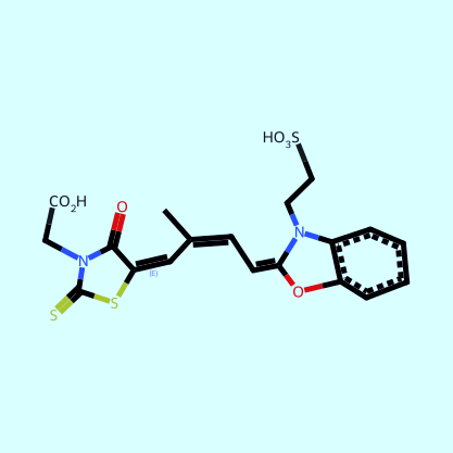 CC(=CC=C1Oc2ccccc2N1CCS(=O)(=O)O)/C=C1/SC(=S)N(CC(=O)O)C1=O